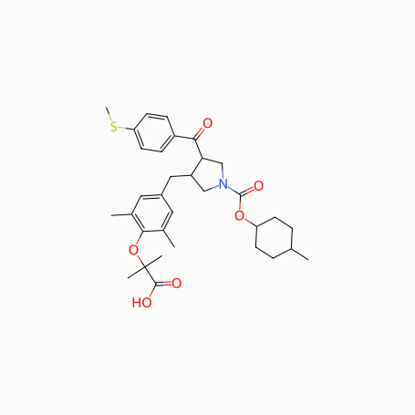 CSc1ccc(C(=O)C2CN(C(=O)OC3CCC(C)CC3)CC2Cc2cc(C)c(OC(C)(C)C(=O)O)c(C)c2)cc1